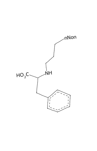 CCCCCCCCCCCCNC(Cc1ccccc1)C(=O)O